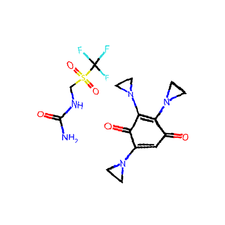 NC(=O)NCS(=O)(=O)C(F)(F)F.O=C1C=C(N2CC2)C(=O)C(N2CC2)=C1N1CC1